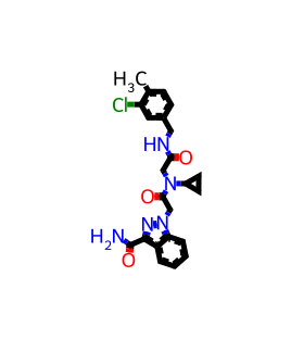 Cc1ccc(CNC(=O)CN(C(=O)Cn2nc(C(N)=O)c3ccccc32)C2CC2)cc1Cl